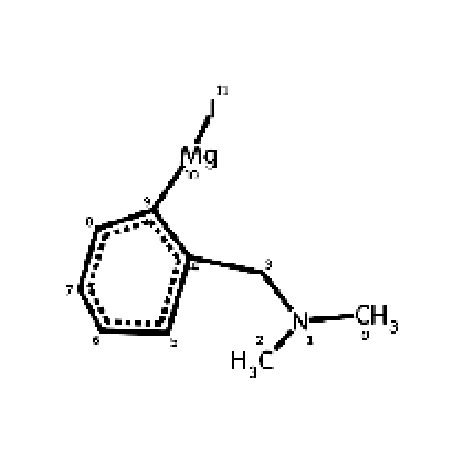 CN(C)Cc1cccc[c]1[Mg][I]